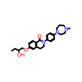 CCC(O)COc1ccc2c(c1)CCN(c1ccc(N3CCCN(C)CC3)cc1)C2=O